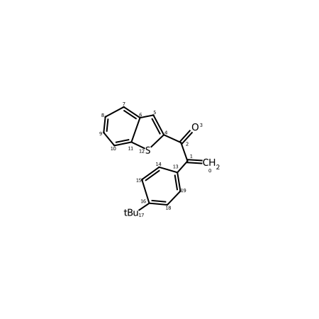 C=C(C(=O)c1cc2ccccc2s1)c1ccc(C(C)(C)C)cc1